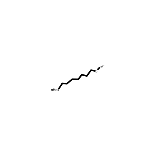 [CH2]CCCCCCCCCCCCOCCC